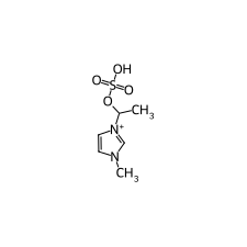 CC(OS(=O)(=O)O)[n+]1ccn(C)c1